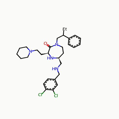 CCC(CN1CC[C@@H](CNCc2ccc(Cl)c(Cl)c2)N[C@@H](CCN2CCCCC2)C1=O)c1ccccc1